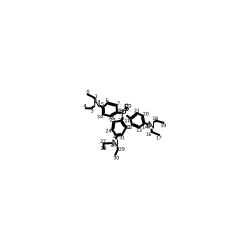 CCN(CC)c1ccc(P(=S)(c2ccc(N(CC)CC)cc2)c2ccc(N(CC)CC)cc2)cc1